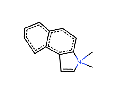 C[N+]1(C)C=Cc2c1ccc1ccccc21